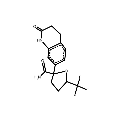 NC(=O)C1(c2ccc3c(c2)NC(=O)CC3)CCC(C(F)(F)F)O1